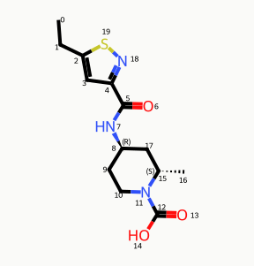 CCc1cc(C(=O)N[C@@H]2CCN(C(=O)O)[C@@H](C)C2)ns1